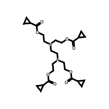 O=C(OCCN(CCOC(=O)C1CC1)CCN(CCOC(=O)C1CC1)CCOC(=O)C1CC1)C1CC1